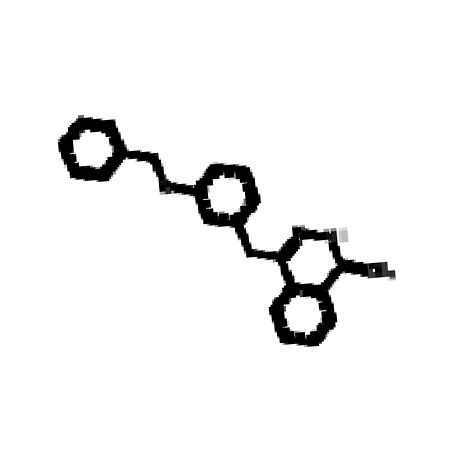 C=C1NN=C(Cc2cccc(OCc3ccccc3)c2)c2ccccc21